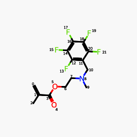 C=C(C)C(=O)OCCN(C)Cc1c(F)c(F)c(F)c(F)c1F